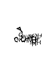 [2H]C([2H])C(C)(F)C(CC)(NC(=O)c1ccc(N2CCCC2)c(OCC2CC2)n1)C(=O)O